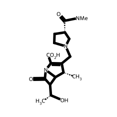 CNC(=O)[C@H]1CCN(CC2=C(C(=O)O)N3C(=O)C([C@@H](C)O)C3[C@H]2C)C1